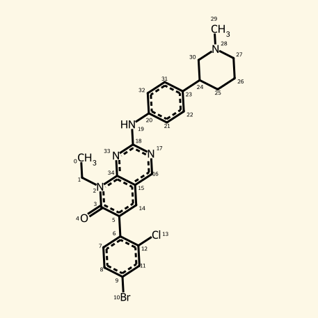 CCn1c(=O)c(-c2ccc(Br)cc2Cl)cc2cnc(Nc3ccc(C4CCCN(C)C4)cc3)nc21